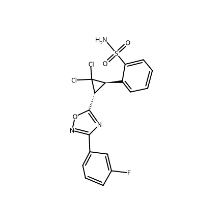 NS(=O)(=O)c1ccccc1[C@H]1[C@H](c2nc(-c3cccc(F)c3)no2)C1(Cl)Cl